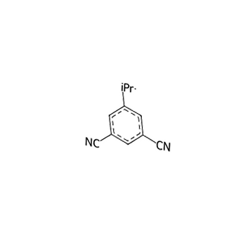 C[C](C)c1cc(C#N)cc(C#N)c1